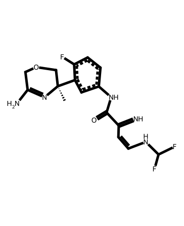 C[C@@]1(c2cc(NC(=O)C(=N)/C=C\NC(F)F)ccc2F)COCC(N)=N1